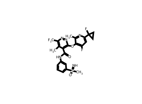 Cc1nc(C2(F)CC2)cc(F)c1Oc1nnc(C(F)(F)F)c(C)c1C(=O)Nc1cccc(S(C)(=N)=O)c1